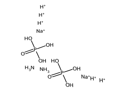 N.N.O=P(O)(O)O.O=P(O)(O)O.[H+].[H+].[H+].[H+].[H+].[Na+].[Na+]